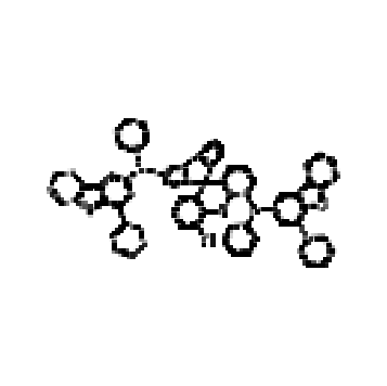 Clc1cccc2c1Sc1c(N(c3ccccc3)c3cc(-c4ccccc4)c4oc5ccccc5c4c3)cccc1C21c2ccccc2-c2cc(N(c3ccccc3)c3cc(C4=CC=CCC4)c4sc5c(c4c3)CCC=C5)ccc21